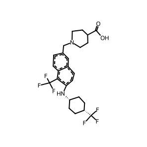 O=C(O)C1CCN(Cc2ccc3c(C(F)(F)F)c(N[C@H]4CC[C@@H](C(F)(F)F)CC4)ccc3c2)CC1